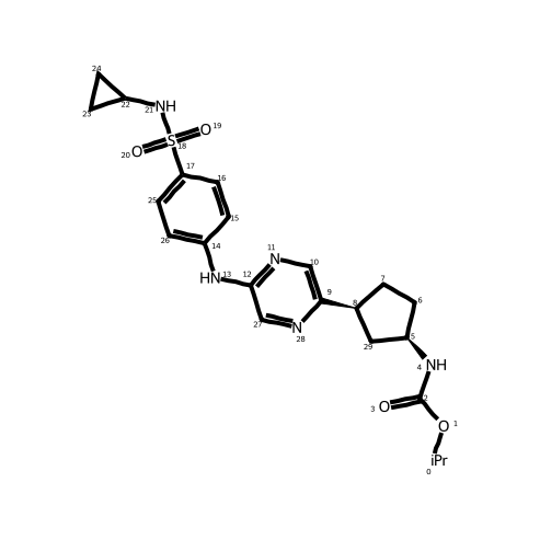 CC(C)OC(=O)N[C@@H]1CC[C@H](c2cnc(Nc3ccc(S(=O)(=O)NC4CC4)cc3)cn2)C1